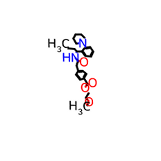 CCCC(NC(=O)Cc1ccc(C(=O)OCCOC)cc1)c1ccccc1N1CCCCC1